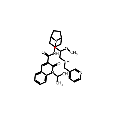 COC(CNCc1cccnc1)CN1C2CCC1CC(NC(=O)c1cc3ccccc3n(C(C)C)c1=O)C2